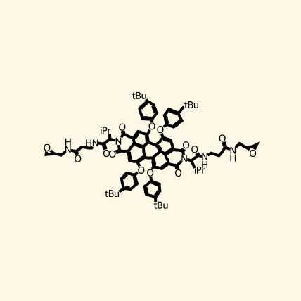 CC(C)C(C(=O)NCCC(=O)NCC1CO1)N1C(=O)c2cc(Oc3ccc(C(C)(C)C)cc3)c3c4c(Oc5ccc(C(C)(C)C)cc5)cc5c6c(cc(Oc7ccc(C(C)(C)C)cc7)c(c7c(Oc8ccc(C(C)(C)C)cc8)cc(c2c37)C1=O)c64)C(=O)N(C(C(=O)NCCC(=O)NCC1CO1)C(C)C)C5=O